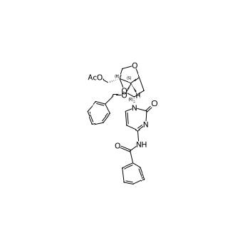 CC(=O)OC[C@@]12COC(C[C@H](n3ccc(NC(=O)c4ccccc4)nc3=O)O1)[C@@H]2OCc1ccccc1